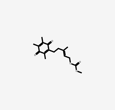 COC(=O)OCC=C(C)CCC1=C(C)C(=O)C(C)=C(C)C1=O